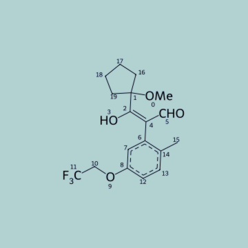 COC1(/C(O)=C(\C=O)c2cc(OCC(F)(F)F)ccc2C)CCCC1